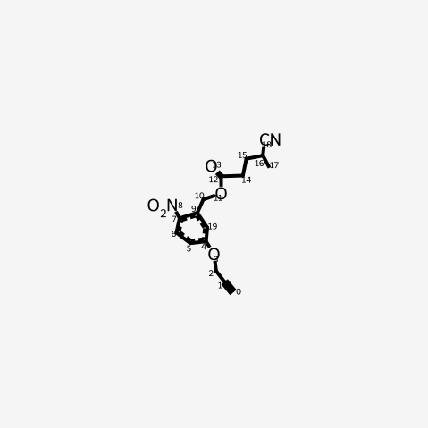 C#CCOc1ccc([N+](=O)[O-])c(COC(=O)CCC(C)C#N)c1